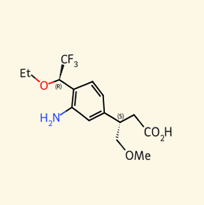 CCO[C@H](c1ccc([C@@H](COC)CC(=O)O)cc1N)C(F)(F)F